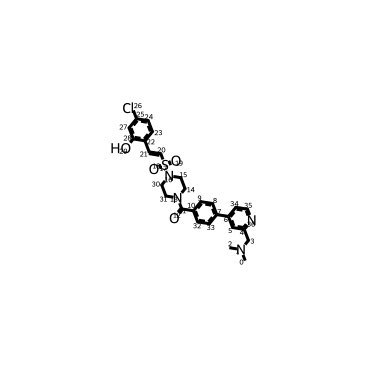 CN(C)Cc1cc(-c2ccc(C(=O)N3CCN(S(=O)(=O)C=Cc4ccc(Cl)cc4O)CC3)cc2)ccn1